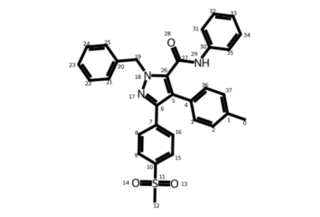 Cc1ccc(-c2c(-c3ccc(S(C)(=O)=O)cc3)nn(Cc3ccccc3)c2C(=O)Nc2ccccc2)cc1